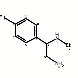 CCNC(CN)c1ccc(I)cc1